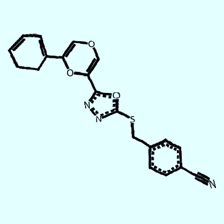 N#Cc1ccc(CSc2nnc(C3=COC=C(C4=CC=CCC4)O3)o2)cc1